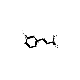 O=C(F)/C=C/c1cccc(F)c1